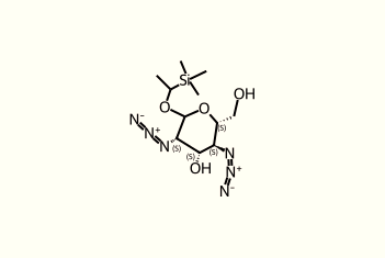 CC(OC1O[C@H](CO)[C@@H](N=[N+]=[N-])[C@H](O)[C@@H]1N=[N+]=[N-])[Si](C)(C)C